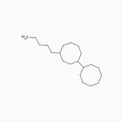 CCCCCC1CCCCC(C2CCCCCCC2)CC1